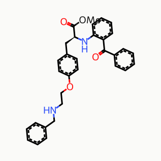 COC(=O)[C@H](Cc1ccc(OCCNCc2ccccc2)cc1)Nc1ccccc1C(=O)c1ccccc1